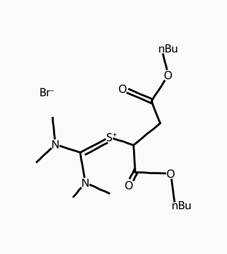 CCCCOC(=O)CC([S+]=C(N(C)C)N(C)C)C(=O)OCCCC.[Br-]